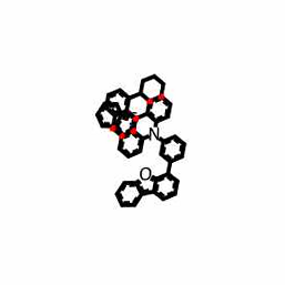 c1cc(-c2cccc3c2oc2ccccc23)cc(N(c2ccccc2-c2cccc3cccc(C4CCCCC4)c23)c2cccc3c2sc2ccccc23)c1